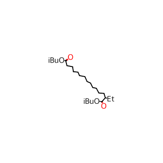 CCC(CCCCCCCCCCCCC(=O)OCC(C)C)C(=O)OCC(C)C